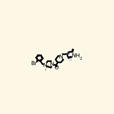 C=C/C=C(\C=C/N)CN1CCC(C(=O)N2CCN(Cc3ccccc3Br)[C@@H](C)C2)CC1